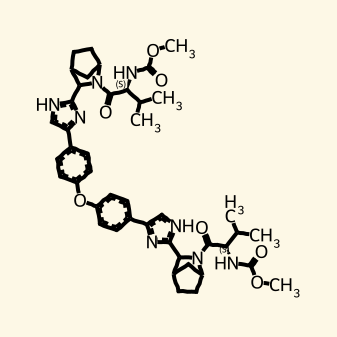 COC(=O)N[C@H](C(=O)N1C2CCC(C2)C1c1nc(-c2ccc(Oc3ccc(-c4c[nH]c(C5C6CCC(C6)N5C(=O)[C@@H](NC(=O)OC)C(C)C)n4)cc3)cc2)c[nH]1)C(C)C